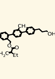 C=C(CC)C(=O)OCc1ccccc1-c1ccc(-c2ccc(CCCO)cc2)c(C)c1